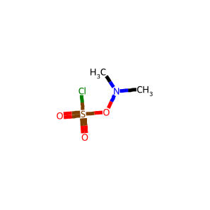 CN(C)OS(=O)(=O)Cl